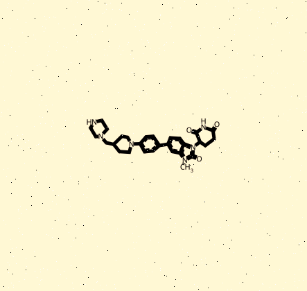 Cn1c(=O)n(C2CCC(=O)NC2=O)c2ccc(-c3ccc(N4CCC(CN5CCNCC5)CC4)cc3)cc21